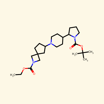 CCOC(=O)N1CC2(CCC(N3CCC(C4CCCN4C(=O)OC(C)(C)C)CC3)C2)C1